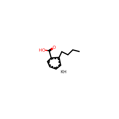 CCCCc1ccccc1C(=O)O.[KH]